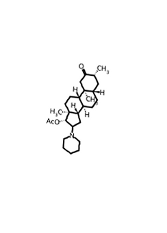 CC(=O)O[C@H]1C(N2CCCCC2)C[C@H]2[C@@H]3CC[C@H]4C[C@@H](C)C(=O)C[C@]4(C)[C@H]3CC[C@]12C